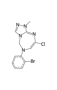 CN1N=CN2CN(c3ccccc3Br)C=C(Cl)N=C21